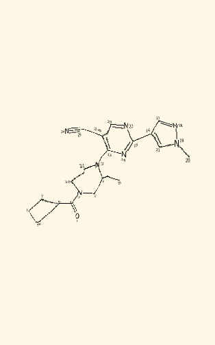 CC1CN(C(=O)C2CCC2)CCN1c1nc(-c2cnn(C)c2)ncc1C#N